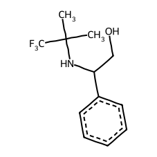 CC(C)(NC(CO)c1ccccc1)C(F)(F)F